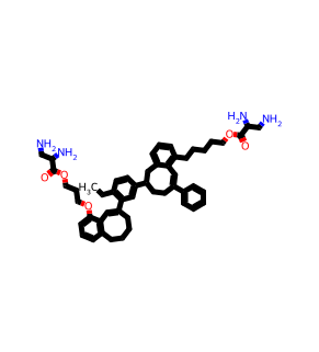 CCc1ccc(C2CC/C(c3ccccc3)=C\c3c(CCCCCOC(=O)C(N)CN)cccc3C2)cc1/C1=C/c2c(cccc2OCCCOC(=O)C(N)CN)CCCC1